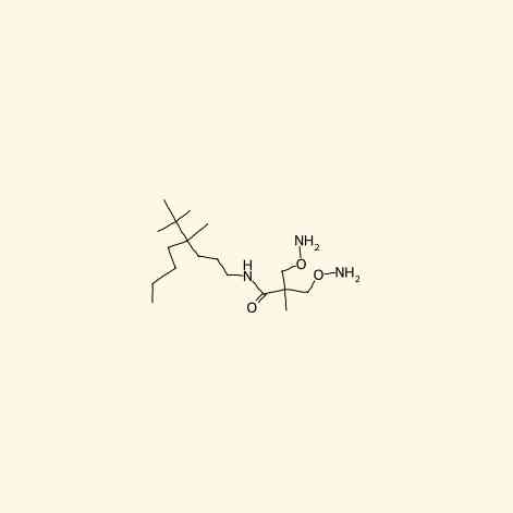 CCCCC(C)(CCCNC(=O)C(C)(CON)CON)C(C)(C)C